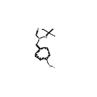 CC(C)(C)ON(C=O)Cc1ccc(N)cc1